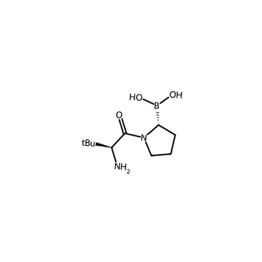 CC(C)(C)[C@H](N)C(=O)N1CCC[C@H]1B(O)O